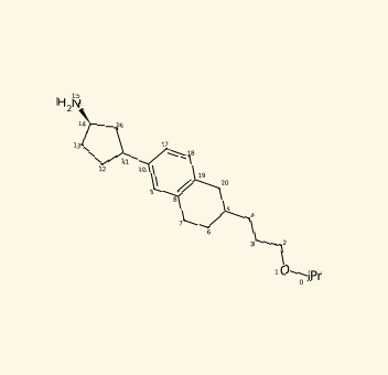 CC(C)OCCCC1CCc2cc(C3CC[C@@H](N)C3)ccc2C1